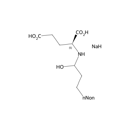 CCCCCCCCCCCC(O)N[C@@H](CCC(=O)O)C(=O)O.[NaH]